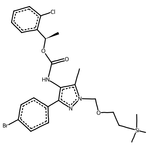 Cc1c(NC(=O)O[C@H](C)c2ccccc2Cl)c(-c2ccc(Br)cc2)nn1COCC[Si](C)(C)C